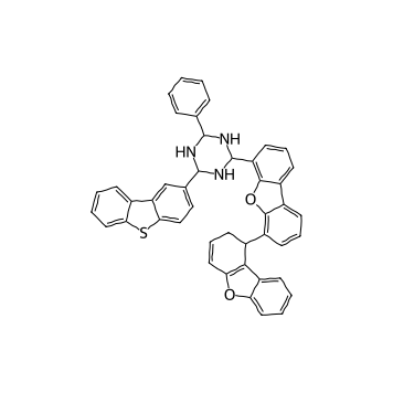 C1=Cc2oc3ccccc3c2C(c2cccc3c2oc2c(C4NC(c5ccccc5)NC(c5ccc6sc7ccccc7c6c5)N4)cccc23)C1